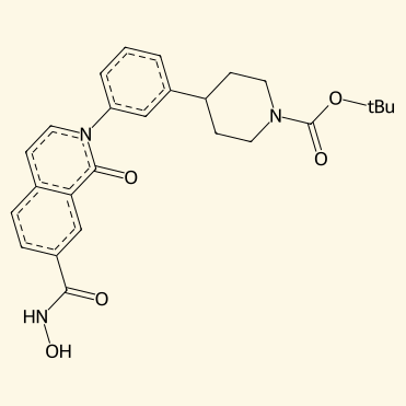 CC(C)(C)OC(=O)N1CCC(c2cccc(-n3ccc4ccc(C(=O)NO)cc4c3=O)c2)CC1